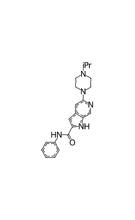 CC(C)N1CCN(c2cc3cc(C(=O)Nc4ccccc4)[nH]c3cn2)CC1